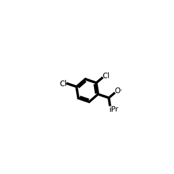 CC(C)C([O])c1ccc(Cl)cc1Cl